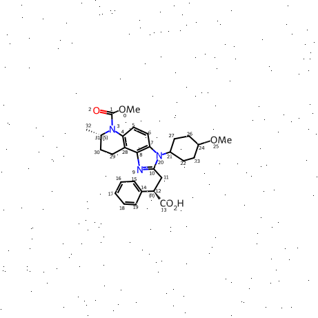 COC(=O)N1c2ccc3c(nc(C[C@@H](C(=O)O)c4ccccc4)n3C3CCC(OC)CC3)c2CC[C@@H]1C